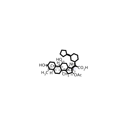 CC(=O)O[C@H]1C[C@@]2(C)[C@@](N)(C[C@@H](O)[C@H]3[C@@]4(C)CC[C@@H](O)[C@@H](C)[C@@H]4CC[C@@]32C)/C1=C(/C(=O)O)C1CCCC(=C2CCCC2)C1